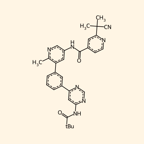 Cc1ncc(NC(=O)c2ccnc(C(C)(C)C#N)c2)cc1-c1cccc(-c2cc(NC(=O)C(C)(C)C)ncn2)c1